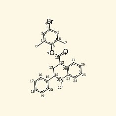 Cc1cc(Br)cc(C)c1OC(=O)C1CC(c2ccccc2)N(C)c2ccccc21